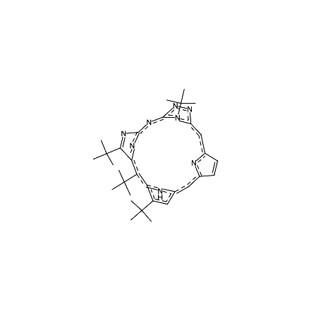 CC(C)(C)C1=Nc2nc1c(C(C)(C)C)c1[nH]c(cc3nc(cc4nnc(n2)n4C(C)(C)C)C=C3)cc1C(C)(C)C